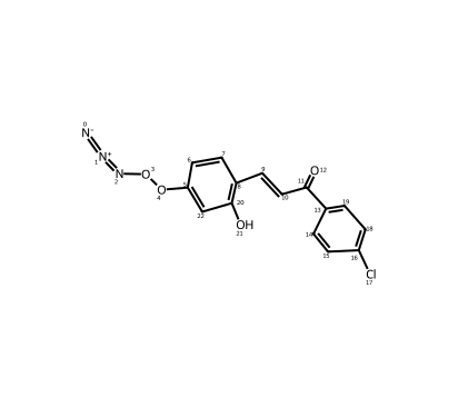 [N-]=[N+]=NOOc1ccc(/C=C/C(=O)c2ccc(Cl)cc2)c(O)c1